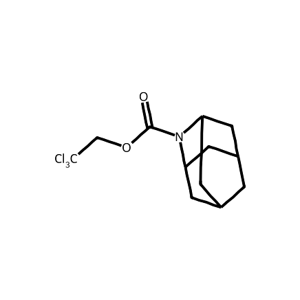 O=C(OCC(Cl)(Cl)Cl)N1C2CC3CC(C2)CC1C3